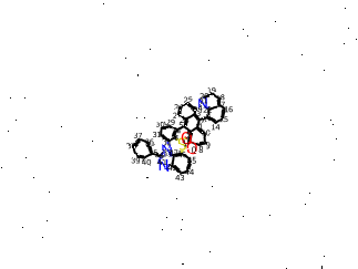 O=S1(=O)c2c(-c3c4ccccc4c(-c4cccc5cccnc45)c4ccccc34)cccc2-n2c(-c3ccccc3)nc3cccc1c32